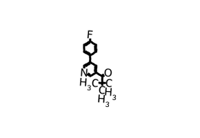 CC(C)(C)C(=O)c1cncc(-c2ccc(F)cc2)c1